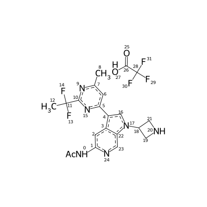 CC(=O)Nc1cc2c(-c3cc(C)nc(C(C)(F)F)n3)cn(C3CNC3)c2cn1.O=C(O)C(F)(F)F